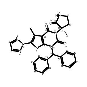 Cc1c(-n2nccn2)sc2c1c(=O)n([C@]1(C)CCNC1=O)c(=O)n2C(c1ccccc1)c1ccccc1